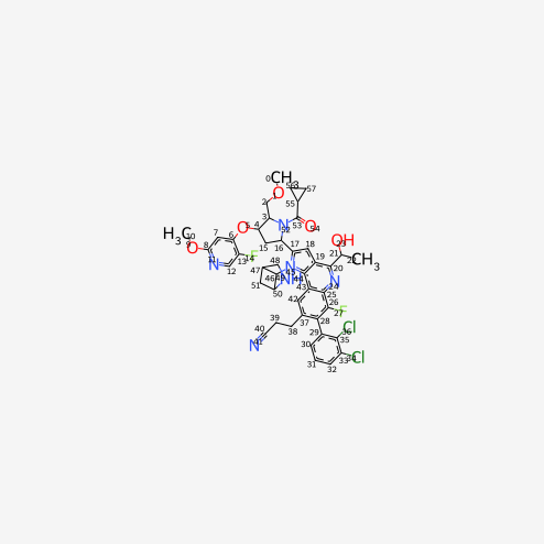 COCC1C(Oc2cc(OC)ncc2F)CC(c2cc3c(C(C)O)nc4c(F)c(-c5cccc(Cl)c5Cl)c(CCC#N)cc4c3n2C2C3CNC2C3)N1C(=O)C1CC1